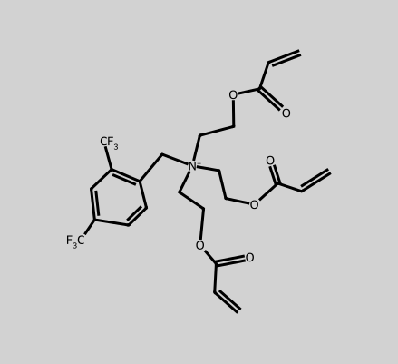 C=CC(=O)OCC[N+](CCOC(=O)C=C)(CCOC(=O)C=C)Cc1ccc(C(F)(F)F)cc1C(F)(F)F